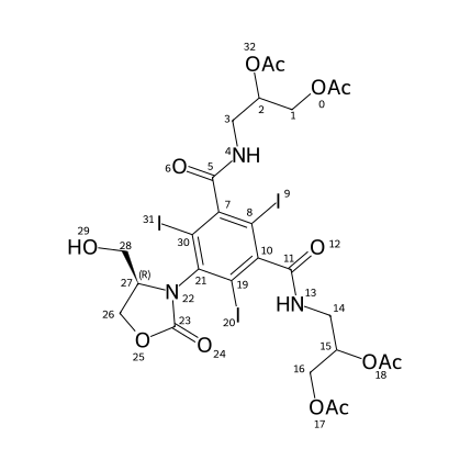 CC(=O)OCC(CNC(=O)c1c(I)c(C(=O)NCC(COC(C)=O)OC(C)=O)c(I)c(N2C(=O)OC[C@H]2CO)c1I)OC(C)=O